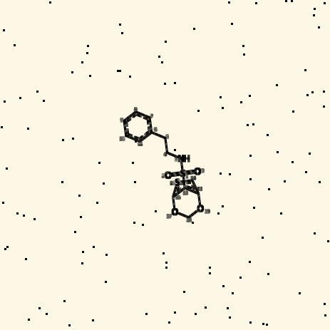 O=S(=O)(NCCc1ccccc1)c1c2csc1OCO2